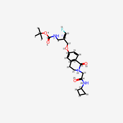 CC(C)(C)OC(=O)NC/C(=C\F)COc1ccc2c(c1)CCN(CC(=O)NC1CCC1)C2=O